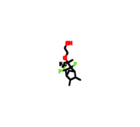 CC1C(C)C2CC1C(F)(F)C2(F)C(C)(OCCO)C(F)(F)F